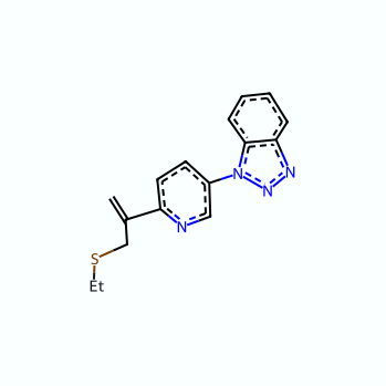 C=C(CSCC)c1ccc(-n2nnc3ccccc32)cn1